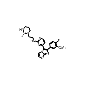 COc1cc(-c2nc3occn3c2-c2ccnc(NCCN3CCCN[S+]3[O-])n2)ccc1F